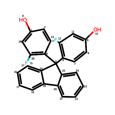 Oc1ccc(C2(c3ccc(O)cc3F)c3ccccc3-c3ccccc32)c(F)c1